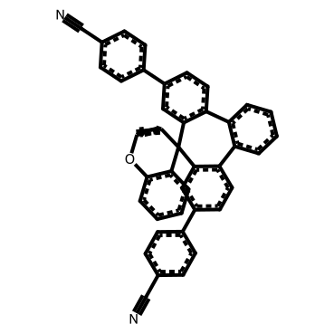 N#Cc1ccc(-c2ccc3c(c2)C2(c4ccccc4Oc4ccccc42)c2cc(-c4ccc(C#N)cc4)ccc2-c2ccccc2-3)cc1